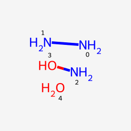 NN.NO.O